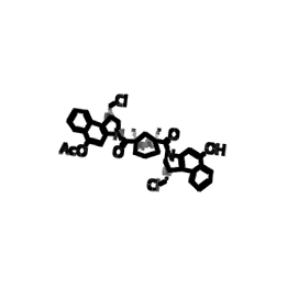 CC(=O)Oc1cc2c(c3ccccc13)[C@H](CCl)CN2C(=O)[C@]1(C)CCC[C@](C)(C(=O)N2C[C@@H](CCl)c3c2cc(O)c2ccccc32)C1